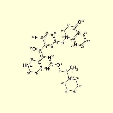 CC(COc1nc2c(c(C(=O)c3cc(CN4CCC(=O)c5cccnc54)ccc3F)n1)CNCC2)N1CCCCC1